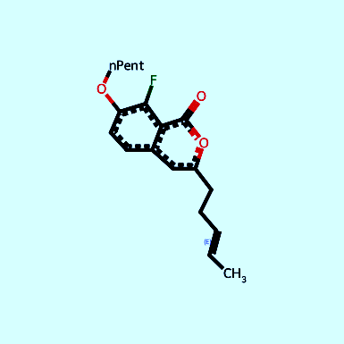 C/C=C/CCc1cc2ccc(OCCCCC)c(F)c2c(=O)o1